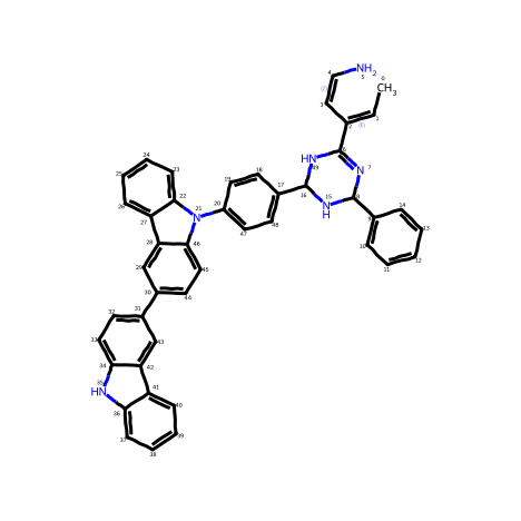 C/C=C(\C=C/N)C1=NC(c2ccccc2)NC(c2ccc(-n3c4ccccc4c4cc(-c5ccc6[nH]c7ccccc7c6c5)ccc43)cc2)N1